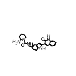 NC1CCCCN1C(=O)NCc1ccc2[nH]c(-c3cc4ccccc4[nH]c3=O)cc2c1